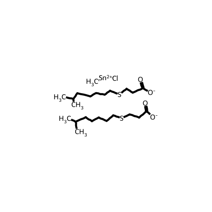 CC(C)CCCCCSCCC(=O)[O-].CC(C)CCCCCSCCC(=O)[O-].[CH3][Sn+2][Cl]